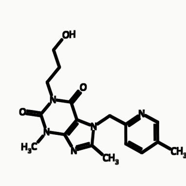 Cc1ccc(Cn2c(C)nc3c2c(=O)n(CCCO)c(=O)n3C)nc1